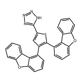 c1ccc2c(c1)oc1cccc(-c3cc(-c4nnn[nH]4)sc3-c3cccc4oc5ccccc5c34)c12